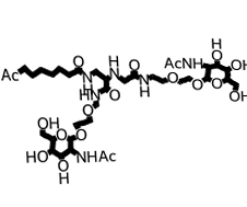 CC(=O)CCCCCCC(=O)NCC(NCC(=O)NCCOCCOC1OC(CO)C(O)C(O)C1NC(C)=O)C(=O)NCOCCOC1OC(CO)C(O)C(O)C1NC(C)=O